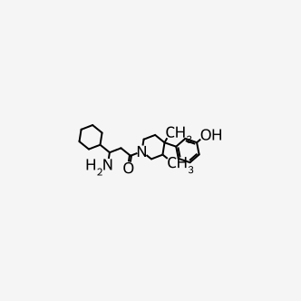 CC1CN(C(=O)CC(N)C2CCCCC2)CCC1(C)c1cccc(O)c1